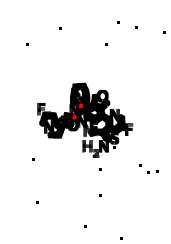 N#Cc1c(N)sc2c(F)cnc(-c3c4c(c5c(N6C7CCC6CN(C[C@@H]6CCO6)C7)nc(OC[C@@]67CCCN6C[C@H](F)C7)nc5c3F)COC4)c12